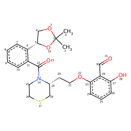 CC1(C)OC[C@@H](c2ccccc2C(=O)N2CCSC[C@H]2CCOc2cccc(O)c2C=O)O1